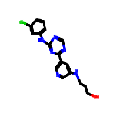 OCCCNc1cncc(-c2ncnc(Nc3cccc(Cl)c3)n2)c1